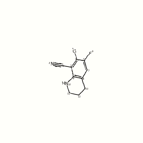 N#Cc1c(Cl)c(F)cc2c1NCCC2